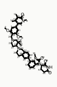 COc1cc(-c2cn(C)c(=O)c(C)c2C)cc(OC)c1CN1CCC(N2CCc3cc(-c4cccc5c4n(C)c(=O)n5C4CCC(=O)NC4=O)ccc3C2)C(F)(F)C1